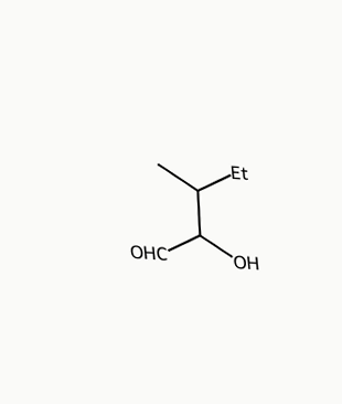 CCC(C)C(O)C=O